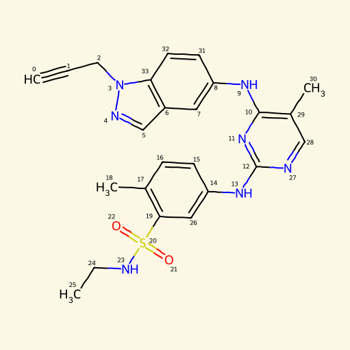 C#CCn1ncc2cc(Nc3nc(Nc4ccc(C)c(S(=O)(=O)NCC)c4)ncc3C)ccc21